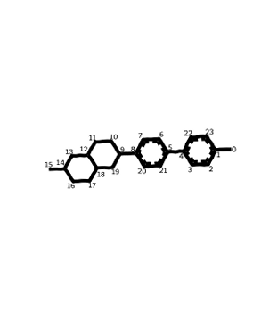 Cc1ccc(-c2ccc(C3CCC4CC(C)CCC4C3)cc2)cc1